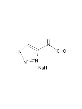 O=CNc1c[nH]nn1.[NaH]